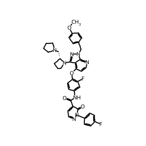 COc1ccc(Cn2nc(N3CCC[C@@H]3CN3CCCC3)c3c(Oc4ccc(NC(=O)c5ccnn(-c6ccc(F)cc6)c5=O)cc4F)ccnc32)cc1